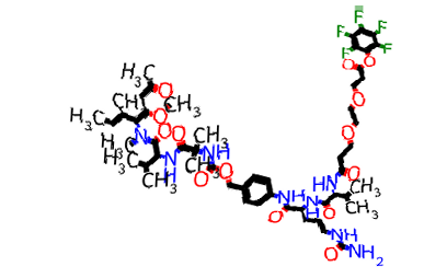 CC[C@H](C)[C@@H]([C@@H](CC(C)=O)OC)N(C)C(=O)[C@@H](NC(=O)C(C)(C)NC(=O)OCc1ccc(NC(=O)[C@H](CCCNC(N)=O)NC(=O)[C@@H](NC(=O)CCOCCOCCC(=O)Oc2c(F)c(F)c(F)c(F)c2F)C(C)C)cc1)C(C)C